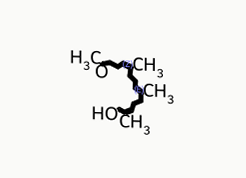 CC(=O)CC/C=C(/C)CC/C=C(\C)CCC=C(C)CO